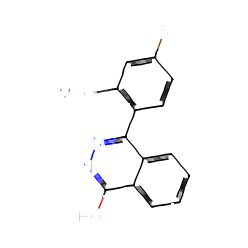 COc1cc(Br)ccc1-c1nnc(O)c2ccccc12